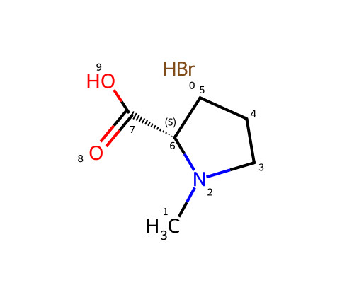 Br.CN1CCC[C@H]1C(=O)O